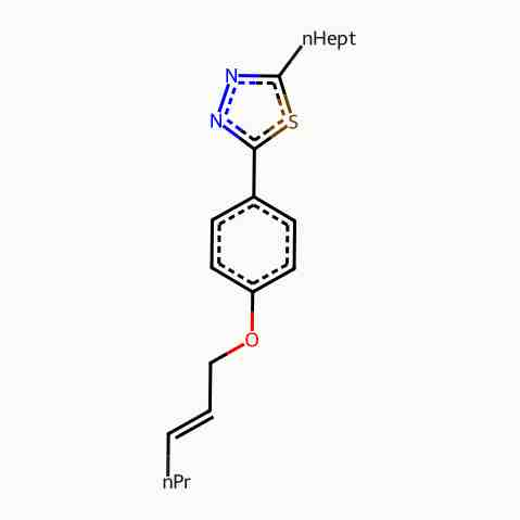 CCCC=CCOc1ccc(-c2nnc(CCCCCCC)s2)cc1